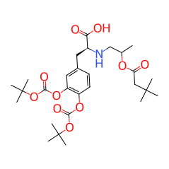 CC(CN[C@@H](Cc1ccc(OC(=O)OC(C)(C)C)c(OC(=O)OC(C)(C)C)c1)C(=O)O)OC(=O)CC(C)(C)C